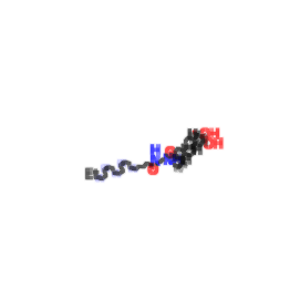 CC/C=C\C/C=C\C/C=C\C/C=C\C/C=C\CCCC(=O)NCCNC(=O)[C@]12CC[C@@H](C)[C@H](C)[C@H]1C1=CC[C@@H]3[C@@]4(C)C[C@@H](O)[C@H](O)C(C)(C)[C@@H]4CC[C@@]3(C)[C@]1(C)CC2